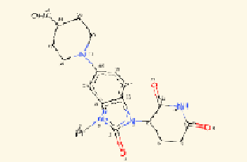 CC(C)n1c(=O)n(C2CCC(=O)NC2=O)c2ccc(N3CCC(C=O)CC3)cc21